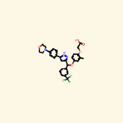 Cc1cc(OC(c2cccc(C(F)(F)F)c2)c2cc(-c3ccc(N4CCOCC4)cc3)[nH]n2)ccc1OCC(=O)O